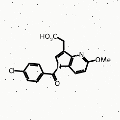 COc1ccc2c(n1)c(CC(=O)O)cn2C(=O)c1ccc(Cl)cc1